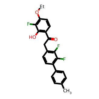 CCOc1ccc(C(=O)Cc2ccc(-c3ccc(C)cc3)c(F)c2F)c(O)c1F